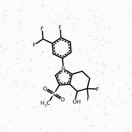 CS(=O)(=O)c1cn(-c2ccc(F)c(C(F)F)c2)c2c1C(O)C(F)(F)CC2